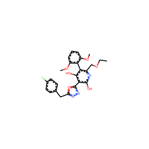 CCOCc1nc(O)c(-c2nnc(Cc3ccc(F)cc3)o2)c(O)c1-c1c(OC)cccc1OC